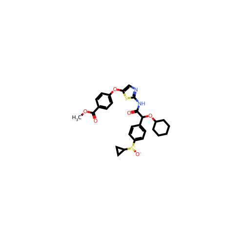 COC(=O)c1ccc(Oc2cnc(NC(=O)C(OC3CCCCC3)c3ccc([S+]([O-])C4CC4)cc3)s2)cc1